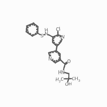 CC(C)(O)CNC(=O)c1cncc(-c2cnc(Cl)c(NSc3ccccc3)c2)c1